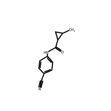 CC1CC1C(=O)Nc1ccc(C#N)cc1